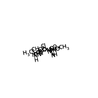 CCOC(=O)NC(=O)C(C#N)=NNc1cc(Cl)c(Oc2cc3c(C(C)C)n[nH]c3nn2)c(Cl)c1